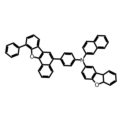 C1=CC2Oc3ccc(N(c4ccc(-c5cc6c7cccc(-c8ccccc8)c7oc6c6ccccc56)cc4)c4ccc5ccccc5c4)cc3C2C=C1